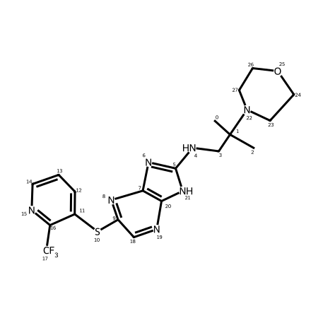 CC(C)(CNc1nc2nc(Sc3cccnc3C(F)(F)F)cnc2[nH]1)N1CCOCC1